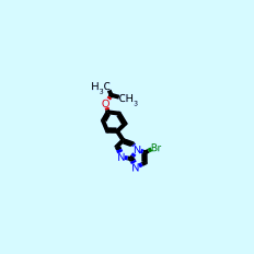 CC(C)Oc1ccc(-c2cnc3ncc(Br)n3c2)cc1